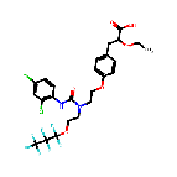 CCOC(Cc1ccc(OCCN(CCOC(F)(F)C(F)(F)C(F)(F)F)C(=O)Nc2ccc(Cl)cc2Cl)cc1)C(=O)O